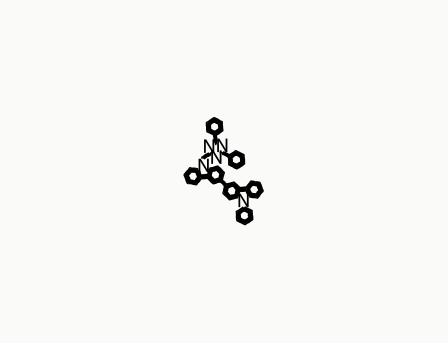 c1ccc(-c2nc(Cn3c4ccccc4c4cc(-c5ccc6c(c5)c5ccccc5n6-c5ccccc5)ccc43)nc(-c3ccccc3)n2)cc1